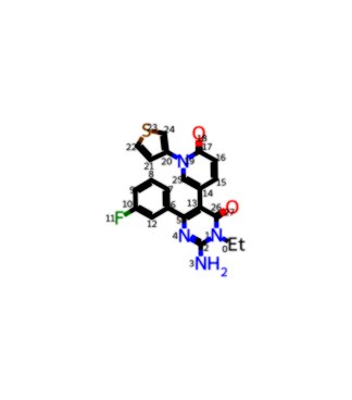 CCn1c(N)nc(-c2cccc(F)c2)c(-c2ccc(=O)n(-c3ccsc3)c2)c1=O